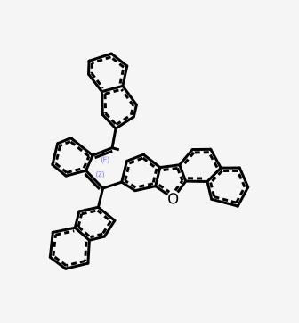 C/C(c1ccc2ccccc2c1)=c1/cccc/c1=C(\c1ccc2ccccc2c1)c1ccc2c(c1)oc1c3ccccc3ccc21